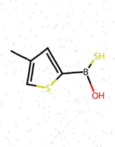 Cc1csc(B(O)S)c1